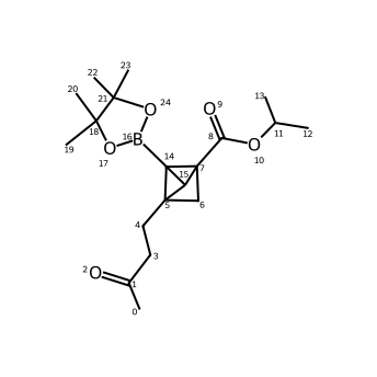 CC(=O)CCC12CC(C(=O)OC(C)C)(C1)C2B1OC(C)(C)C(C)(C)O1